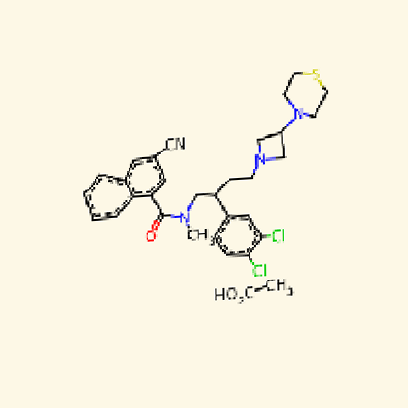 CC(=O)O.CN(CC(CCN1CC(N2CCSCC2)C1)c1ccc(Cl)c(Cl)c1)C(=O)c1cc(C#N)cc2ccccc12